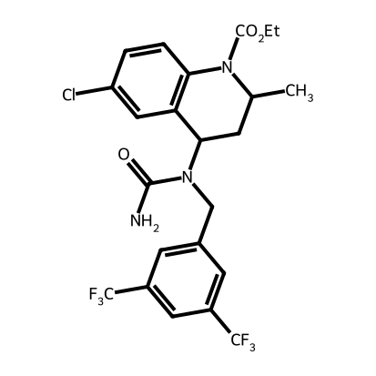 CCOC(=O)N1c2ccc(Cl)cc2C(N(Cc2cc(C(F)(F)F)cc(C(F)(F)F)c2)C(N)=O)CC1C